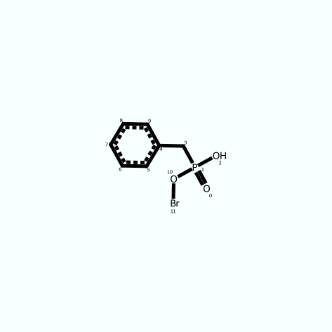 O=P(O)(Cc1ccccc1)OBr